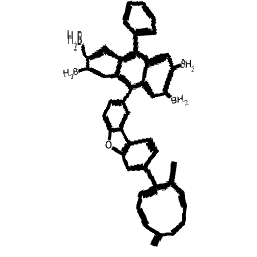 Bc1cc2c(-c3ccccc3)c3cc(B)c(B)cc3c(-c3ccc4oc5cc(-c6cccc(=C)ccccc6=C)ccc5c4c3)c2cc1B